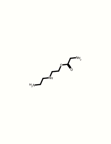 NCCNCCOC(=O)CN